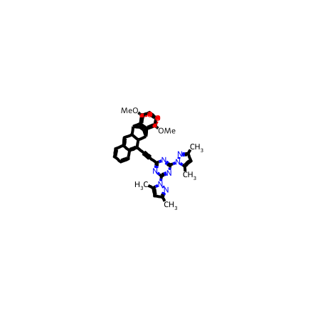 COC(=O)C1=C(C(=O)OC)C2c3ccccc3C1C1C=c3ccccc3=C(C#Cc3nc(-n4nc(C)cc4C)nc(-n4nc(C)cc4C)n3)C21